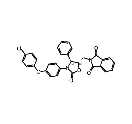 O=C1c2ccccc2C(=O)N1C[C@@H]1OC(=O)N(c2ccc(Oc3ccc(Cl)cc3)cc2)[C@H]1c1ccccc1